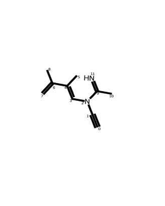 C#CN(/C=C(\C)C(=C)C)C(C)=N